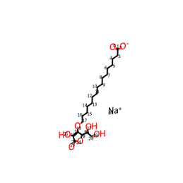 O=C([O-])CCCCCCCCCCCCCCCOC1=C(O)C(=O)O[C@@H]1[C@@H](O)CO.[Na+]